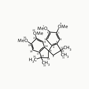 COc1cc2c(cc1OC)C1(CC2(C)C)CC(C)(C)c2cc(OC)c(OC)cc21